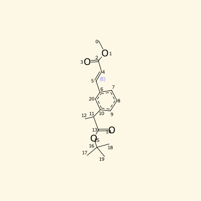 COC(=O)/C=C/c1cccc(C(C)C(=O)OC(C)(C)C)c1